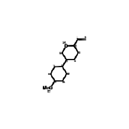 C=CC1CCC(C2CCC(OC)CC2)CO1